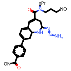 CCCN(CCCN=O)C(=O)C1=CC2=CC=C(c3ccc(C(=O)N=O)cc3)CC2NC(N=NN)C1